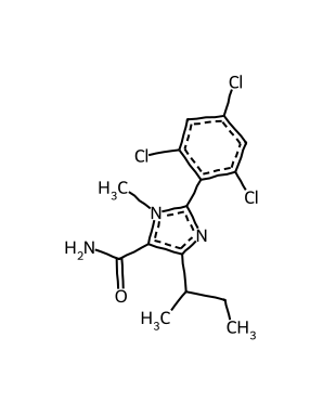 CCC(C)c1nc(-c2c(Cl)cc(Cl)cc2Cl)n(C)c1C(N)=O